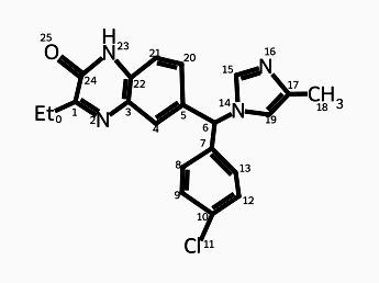 CCc1nc2cc(C(c3ccc(Cl)cc3)n3cnc(C)c3)ccc2[nH]c1=O